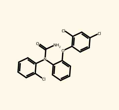 NC(=O)N(c1ccccc1Cl)c1ccccc1Oc1ccc(Cl)cc1Cl